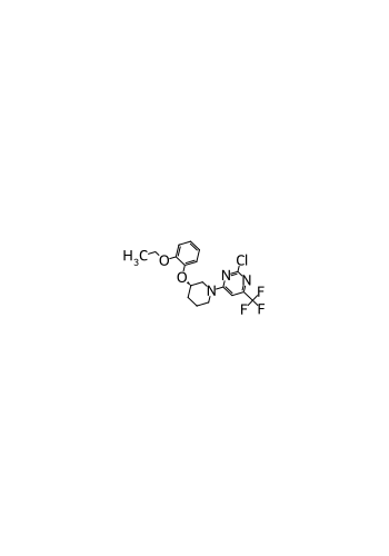 CCOc1ccccc1O[C@@H]1CCCN(c2cc(C(F)(F)F)nc(Cl)n2)C1